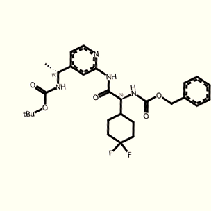 C[C@@H](NC(=O)OC(C)(C)C)c1ccnc(NC(=O)[C@@H](NC(=O)OCc2ccccc2)C2CCC(F)(F)CC2)c1